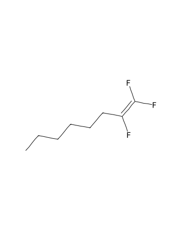 CCCCCCC(F)=C(F)F